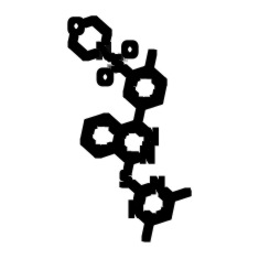 Cc1cc(C)nc(Sc2nnc(-c3ccc(C)c(S(=O)(=O)N4CCOCC4)c3)c3ccccc23)n1